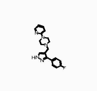 Fc1ccc(-c2n[nH]cc2CN2CCN(c3ccccn3)CC2)cc1